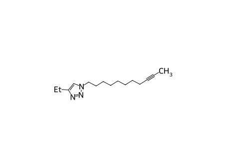 CC#CCCCCCCCCn1cc(CC)nn1